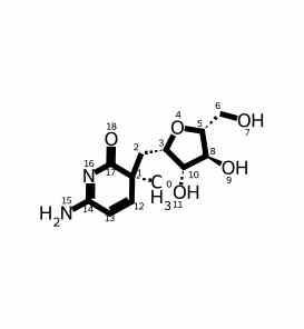 C[C@]1(C[C@@H]2O[C@H](CO)[C@@H](O)[C@@H]2O)C=CC(N)=NC1=O